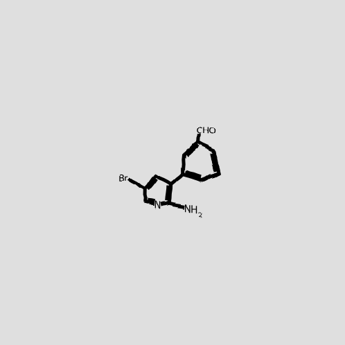 Nc1ncc(Br)cc1-c1cccc(C=O)c1